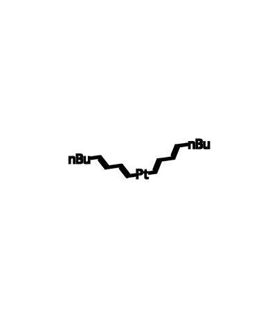 CCCCC=CC=[CH][Pt][CH]=CC=CCCCC